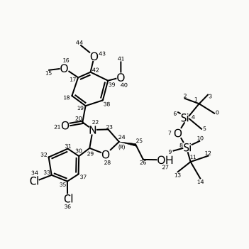 CC(C)(C)[Si](C)(C)O[Si](C)(C)C(C)(C)C.COc1cc(C(=O)N2C[C@@H](CCO)OC2c2ccc(Cl)c(Cl)c2)cc(OC)c1OC